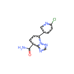 NC(=O)c1ccc(-c2ccc(Cl)nc2)n2n[c]nc12